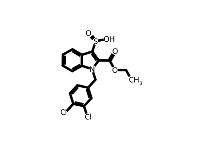 CCOC(=O)c1c(S(=O)O)c2ccccc2n1Cc1ccc(Cl)c(Cl)c1